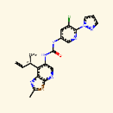 C=C[C@@H](OC)c1c(NC(=O)Nc2cnc(-n3cccn3)c(Cl)c2)cnc2sc(C)nc12